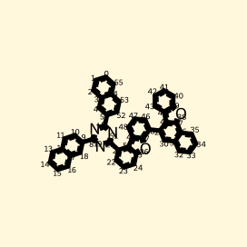 c1ccc2cc(-c3nc(-c4ccc5ccccc5c4)nc(-c4cccc5oc6c(-c7cc8ccccc8c8oc9ccccc9c78)cccc6c45)n3)ccc2c1